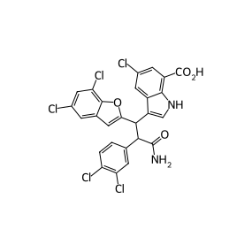 NC(=O)C(c1ccc(Cl)c(Cl)c1)C(c1cc2cc(Cl)cc(Cl)c2o1)c1c[nH]c2c(C(=O)O)cc(Cl)cc12